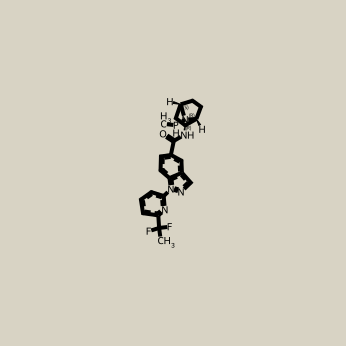 CPN1[C@H]2CC[C@@H]1[C@H](NC(=O)c1ccc3c(cnn3-c3cccc(C(C)(F)F)n3)c1)C2